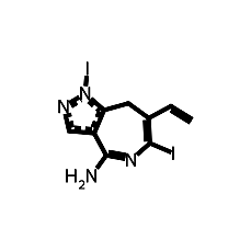 C=CC1=C(I)N=C(N)c2cnn(I)c2C1